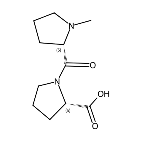 CN1CCC[C@H]1C(=O)N1CCC[C@H]1C(=O)O